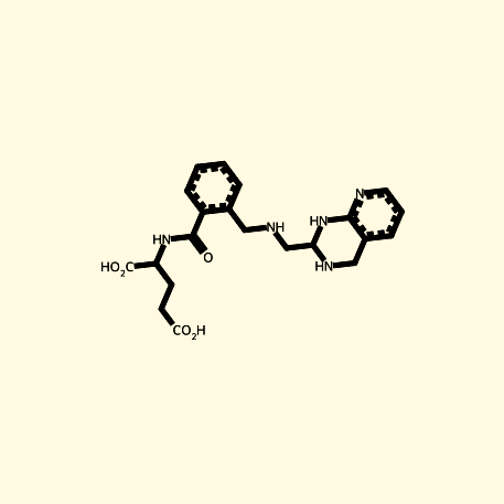 O=C(O)CCC(NC(=O)c1ccccc1CNCC1NCc2cccnc2N1)C(=O)O